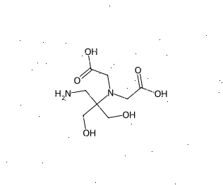 NCC(CO)(CO)N(CC(=O)O)CC(=O)O